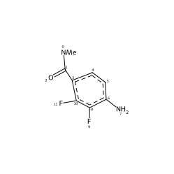 CNC(=O)c1ccc(N)c(F)c1F